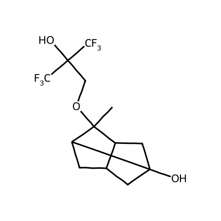 CC1(OCC(O)(C(F)(F)F)C(F)(F)F)C2CC3(O)CC2CC31